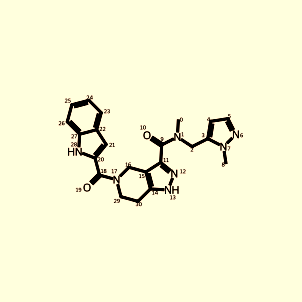 CN(Cc1ccnn1C)C(=O)c1n[nH]c2c1CN(C(=O)c1cc3ccccc3[nH]1)CC2